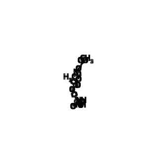 Cc1nc(OCCCS(C)(=O)=O)ccc1Oc1cccc2c1OC[C@H]2Oc1ccc(C2CC(=O)NS(=O)(=O)N2)cc1